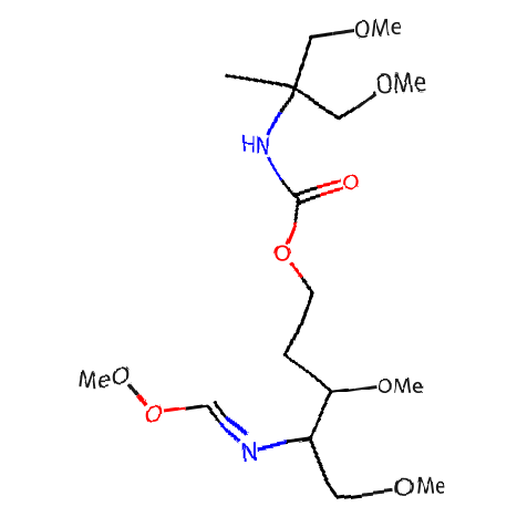 COCC(/N=C/OOC)C(CCOC(=O)NC(C)(COC)COC)OC